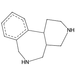 c1ccc2c(c1)CNCC1CNCCC21